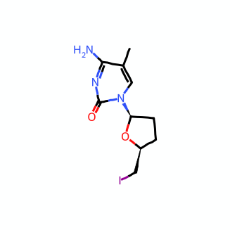 Cc1cn([C@H]2CC[C@@H](CI)O2)c(=O)nc1N